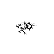 COc1ccc([SiH](C(C)C)C(C)C)c(Cl)c1